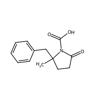 CC1(Cc2ccccc2)CCC(=O)N1C(=O)O